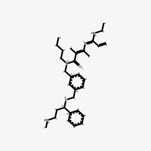 C=C/C(=N\C(C)=C(/C)C(=O)N(CCCC)Cc1cccc(COC(CCNC)c2ccccc2)c1)NCC